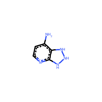 Nc1ccnc2c1NNN2